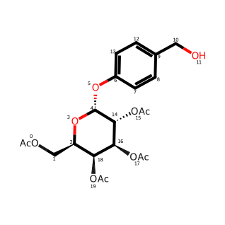 CC(=O)OC[C@H]1O[C@H](Oc2ccc(CO)cc2)[C@H](OC(C)=O)[C@@H](OC(C)=O)[C@H]1OC(C)=O